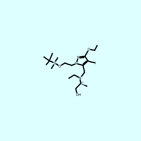 CCOc1nn(CCO[Si](C)(C)C(C)(C)C)c(CN(CC)[C@@H](C)CO)c1I